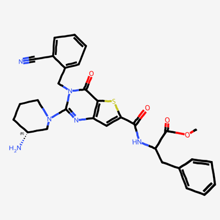 COC(=O)C(Cc1ccccc1)NC(=O)c1cc2nc(N3CCC[C@@H](N)C3)n(Cc3ccccc3C#N)c(=O)c2s1